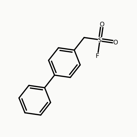 O=S(=O)(F)Cc1ccc(-c2ccccc2)cc1